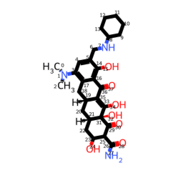 CN(C)c1cc(CNC2CCCCC2)c(O)c2c1C[C@H]1C[C@H]3CC(O)C(C(N)=O)C(=O)[C@@]3(O)C(O)=C1C2=O